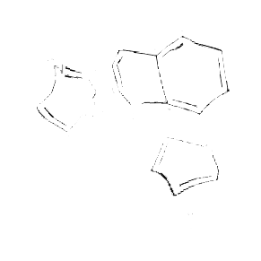 [SeH2].c1ccc2occc2c1.c1ccsc1.c1conn1